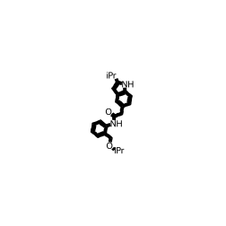 CC(C)OCc1ccccc1NC(=O)Cc1ccc2[nH]c(C(C)C)cc2c1